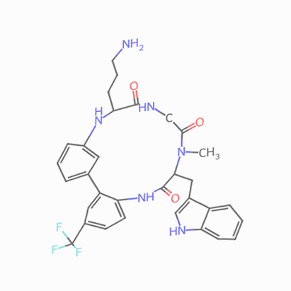 CN1C(=O)CNC(=O)C(CCCN)Nc2cccc(c2)-c2cc(C(F)(F)F)ccc2NC(=O)C1Cc1c[nH]c2ccccc12